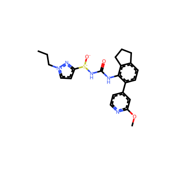 CCCn1ccc([S+]([O-])NC(=O)Nc2c(-c3ccnc(OC)c3)ccc3c2CCC3)n1